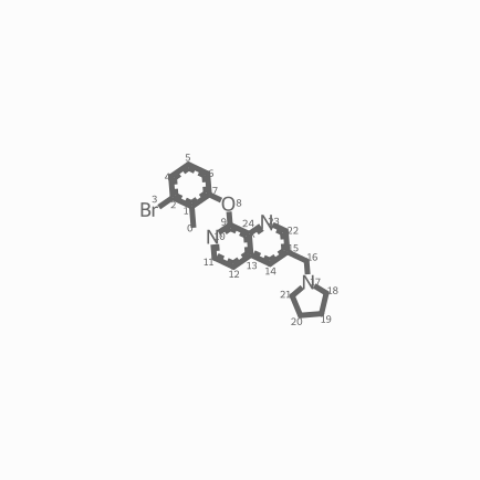 Cc1c(Br)cccc1Oc1nccc2cc(CN3CCCC3)cnc12